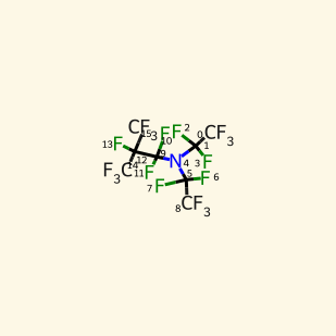 FC(F)(F)C(F)(F)N(C(F)(F)C(F)(F)F)C(F)(F)C(F)(C(F)(F)F)C(F)(F)F